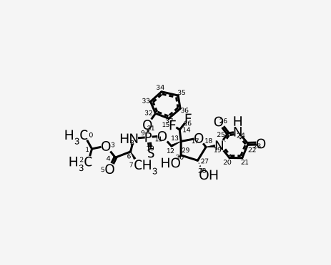 CC(C)OC(=O)[C@H](C)NP(=S)(OC[C@@]1(C(F)F)O[C@@H](n2ccc(=O)[nH]c2=O)[C@H](O)[C@H]1O)Oc1ccccc1